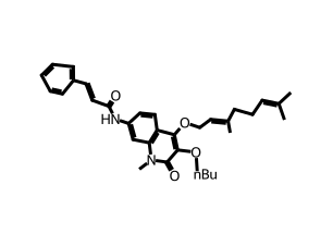 CCCCOc1c(OC/C=C(\C)CCC=C(C)C)c2ccc(NC(=O)/C=C/c3ccccc3)cc2n(C)c1=O